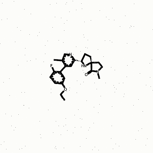 CCOc1ccc(F)c(-c2cc([C@@H]3CC[C@]4(CCN(C)C4=O)N3)ncc2C)c1